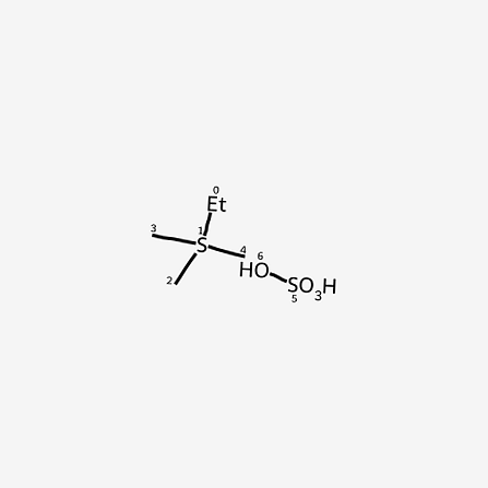 CCS(C)(C)C.O=S(=O)(O)O